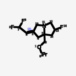 CC(C)OCC12C/C(=C/C(F)F)CN1CC(F)C2